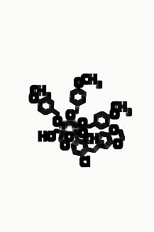 COc1ccc(CO[C@@H]2[C@@H](OCc3ccc(OC)cc3)[C@](OC)(c3ccc(Cl)c(Cc4ccc5c(c4)OC=CO5)c3)O[C@@](C=O)(CO)[C@H]2OCc2ccc(OC)cc2)cc1